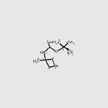 CC1(NC(O)OC(C)(C)C)CNC1